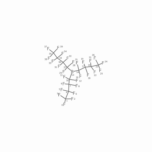 FC(F)(F)C(F)(F)C(F)(F)C(F)(F)B(C(F)(F)C(F)(F)C(F)(F)C(F)(F)F)C(F)(F)C(F)(F)C(F)(F)C(F)(F)F